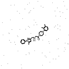 Cc1cccc(N2CCN(C(=O)CNCc3cc(C)n(-c4ccccc4)n3)CC2)c1C